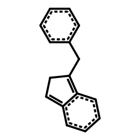 C1=c2ccccc2=C(Cc2ccccc2)C1